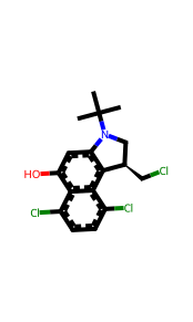 CC(C)(C)N1C[C@@H](CCl)c2c1cc(O)c1c(Cl)ccc(Cl)c21